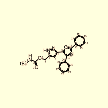 CC(C)(C)NC(=O)OCc1cc(-c2oc(-c3ccccc3)nc2-c2ccccc2)n[nH]1